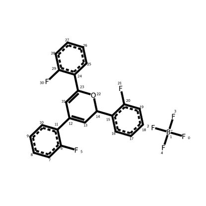 F[B-](F)(F)F.Fc1ccccc1C1=CC(c2ccccc2F)OC(c2ccccc2F)=C1